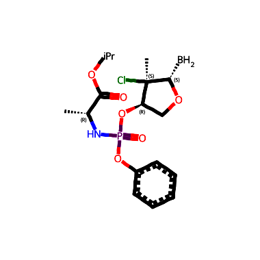 B[C@@H]1OC[C@@H](OP(=O)(N[C@H](C)C(=O)OC(C)C)Oc2ccccc2)[C@@]1(C)Cl